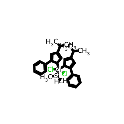 CC(C)C1=C[CH]([Zr]([Cl])([Cl])([CH]2C=C(C(C)C)C=C2c2ccccc2)[SiH](C)C)C(c2ccccc2)=C1